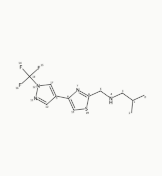 CC(C)CNCc1nc(-c2cnn(C(F)(F)F)c2)cs1